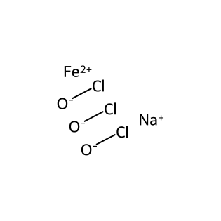 [Fe+2].[Na+].[O-]Cl.[O-]Cl.[O-]Cl